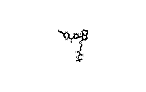 CC(C)(C)OC(=O)NCCCOc1ccc2cccnc2c1-c1cc(Nc2cnc(C#N)cn2)n[nH]1